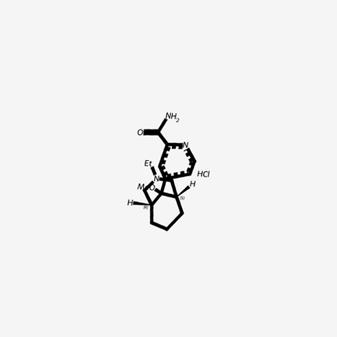 CCN1C[C@H]2CCC[C@@H](C1)C2(OC)c1ccnc(C(N)=O)c1.Cl